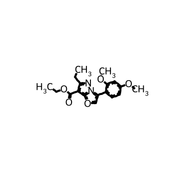 CCOC(=O)c1c(CC)nn2c(-c3ccc(OC)cc3OC)coc12